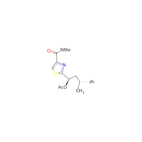 CNC(=O)c1csc([C@@H](C[C@@H](C)C(C)C)OC(C)=O)n1